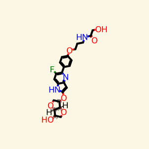 O=C(CO)NCCCOc1ccc(-c2nc3cc(O[C@@H]4CO[C@H]5[C@@H]4OC[C@H]5O)[nH]c3cc2F)cc1